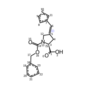 O=C(O)[C@@H]1C/C(=C/c2ccsc2)CN1C(=O)OCc1ccccc1